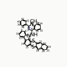 C=N/C(=C\C(Nn1c2ccccc2c2ccc3c(c21)Sc1cc2ccccc2cc1S3)c1ccccc1)c1ccccc1